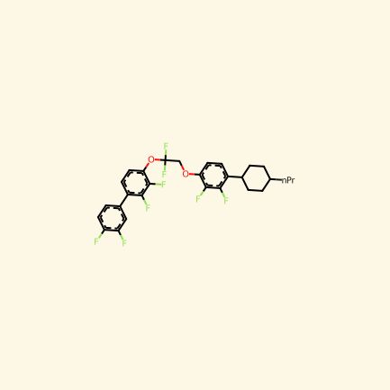 CCCC1CCC(c2ccc(OCC(F)(F)Oc3ccc(-c4ccc(F)c(F)c4)c(F)c3F)c(F)c2F)CC1